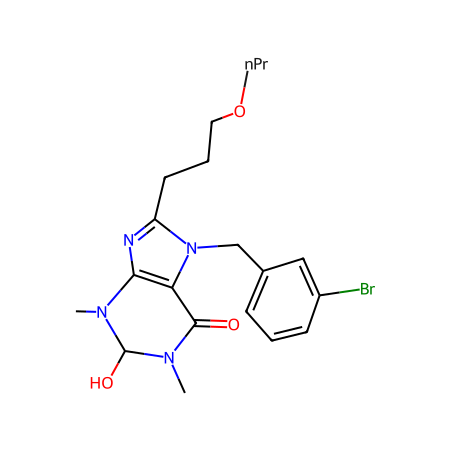 CCCOCCCc1nc2c(n1Cc1cccc(Br)c1)C(=O)N(C)C(O)N2C